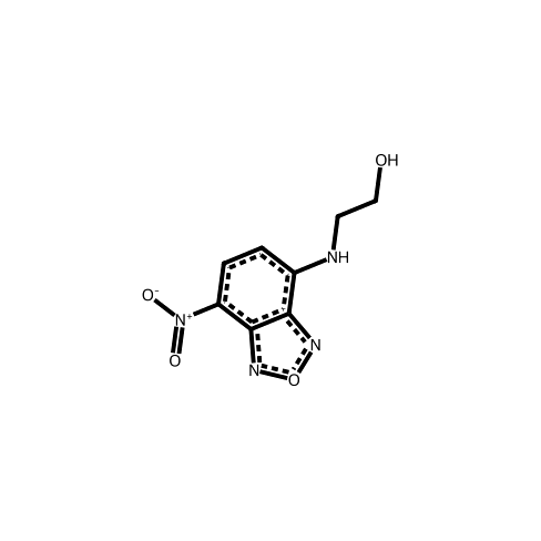 O=[N+]([O-])c1ccc(NCCO)c2nonc12